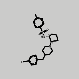 Cc1ccc(S(=O)(=O)N[C@@H]2CCC[C@H]2N2CCC(Cc3ccc(Cl)cc3)CC2)cc1